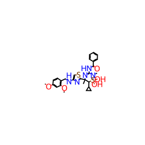 COc1ccc(CNc2csc(C3(C)N=C(NC(=O)c4ccccc4)N(C)S(O)(O)C3C3CC3)n2)c(OC)c1